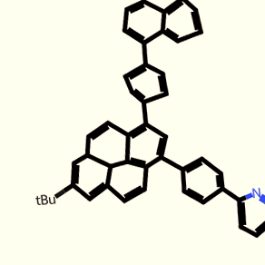 CC(C)(C)C1=CC2C=Cc3c(-c4ccc(-c5cccc6ccccc56)cc4)cc(-c4ccc(-c5ccccn5)cc4)c4c3C2C(=C1)C=C4